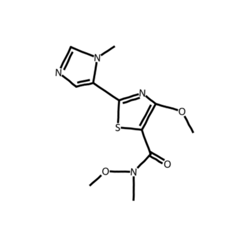 COc1nc(-c2cncn2C)sc1C(=O)N(C)OC